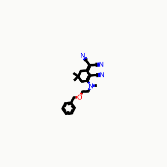 CN(CCOCc1ccccc1)C1=C(C#N)C(=C(C#N)C#N)CC(C)(C)C1